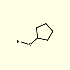 CCSC1CCCC1